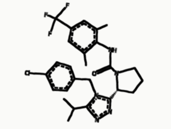 Cc1cc(C(F)(F)F)cc(C)c1NC(=O)N1CCC[C@@H]1c1nnc(C(C)C)n1Cc1ccc(Cl)cc1